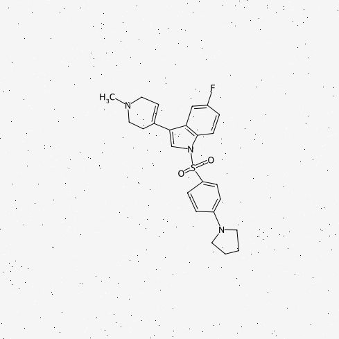 CN1CC=C(c2cn(S(=O)(=O)c3ccc(N4CCCC4)cc3)c3ccc(F)cc23)CC1